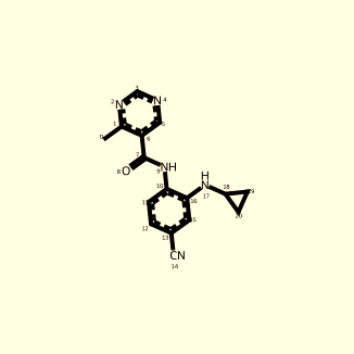 Cc1ncncc1C(=O)Nc1ccc(C#N)cc1NC1CC1